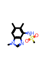 Cc1cc2c(ncn2C)c(NS(C)(=O)=O)c1C